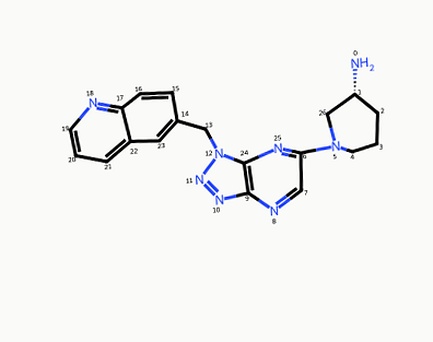 N[C@@H]1CCCN(c2cnc3nnn(Cc4ccc5ncccc5c4)c3n2)C1